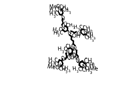 CON1C(C)(C)CC(OCC(O)CN(CCCCCCN(CC(O)COC2CC(C)(C)NC(C)(C)C2)C2CC(C)(C)N3CC(COC4CC(C)(C)N(OC)C(C)(C)C4)OC3(C)C2)C2CC(C)(C)N3CC(COC4CC(C)(C)N(OC)C(C)(C)C4)OC3(C)C2)CC1(C)C